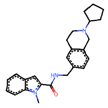 Cn1c(C(=O)NCc2ccc3c(c2)CCN(C2CCCC2)C3)cc2ccccc21